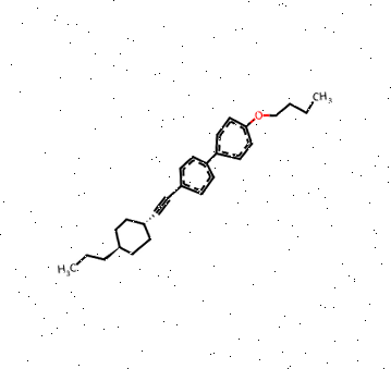 CCCCOc1ccc(-c2ccc(C#C[C@H]3CC[C@H](CCC)CC3)cc2)cc1